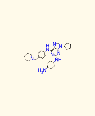 NC1CCC(Nc2nc(Nc3ccc(CN4CCCCC4)cc3)c3ncn(C4CCCC4)c3n2)CC1